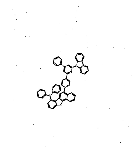 c1ccc(-c2cc(-c3ccc(-c4cc5c(oc6cccc(N(c7ccccc7)c7ccccc7)c65)c5ccccc45)cc3)cc(-n3c4ccccc4c4ccccc43)c2)cc1